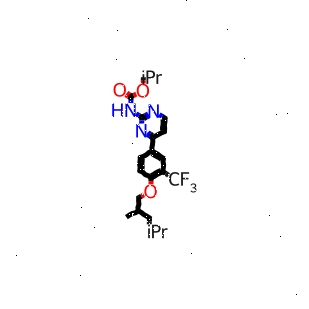 CC(C)CC(C)COc1ccc(-c2ccnc(NC(=O)OC(C)C)n2)cc1C(F)(F)F